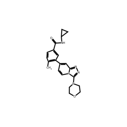 Cc1ccc(C(=O)NC2CC2)cc1-c1ccn2c(N3CCOCC3)nnc2c1